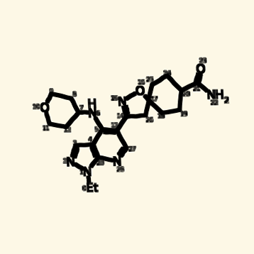 CCn1ncc2c(NC3CCOCC3)c(C3=NOC4(CCC(C(N)=O)CC4)C3)cnc21